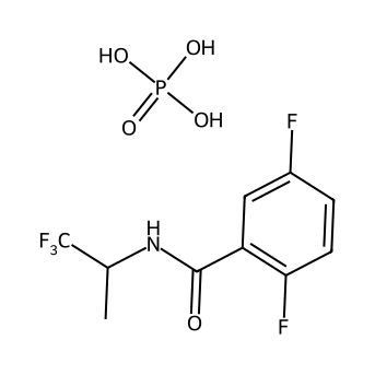 CC(NC(=O)c1cc(F)ccc1F)C(F)(F)F.O=P(O)(O)O